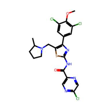 COc1c(Cl)cc(-c2nc(NC(=O)c3cnc(Cl)cn3)sc2CN2CCCC2C)cc1Cl